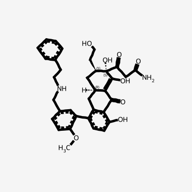 COc1ccc(CNCCc2ccccc2)cc1-c1ccc(O)c2c1C[C@H]1C[C@@H](CCO)[C@@](O)(C(=O)CC(N)=O)C(O)=C1C2=O